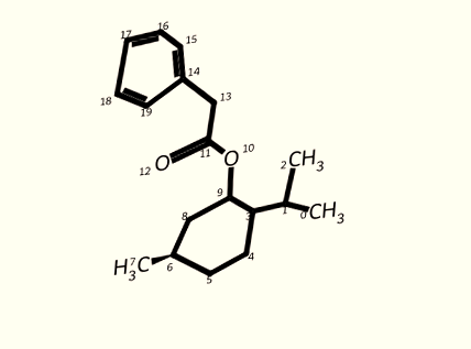 CC(C)C1CC[C@@H](C)CC1OC(=O)Cc1ccccc1